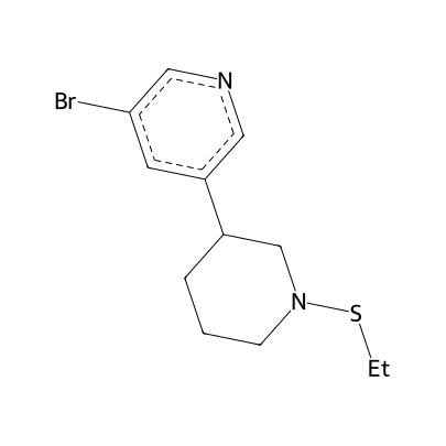 CCSN1CCCC(c2cncc(Br)c2)C1